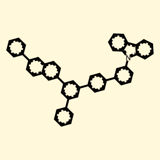 c1ccc(-c2cc(-c3ccc(-c4cccc(-n5c6ccccc6c6ccccc65)c4)cc3)cc(-c3ccc4cc(-c5ccccc5)ccc4c3)c2)cc1